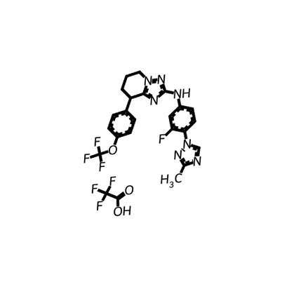 Cc1ncn(-c2ccc(Nc3nc4n(n3)CCCC4c3ccc(OC(F)(F)F)cc3)cc2F)n1.O=C(O)C(F)(F)F